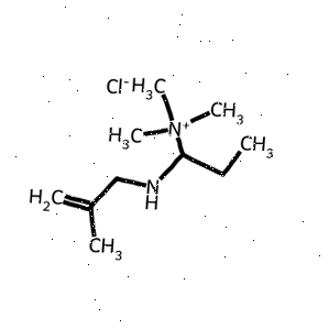 C=C(C)CNC(CC)[N+](C)(C)C.[Cl-]